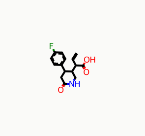 C=CC(C(=O)O)C1CNC(=O)CC1c1ccc(F)cc1